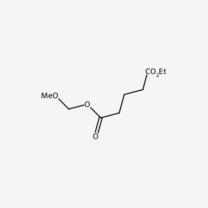 CCOC(=O)CCCC(=O)OCOC